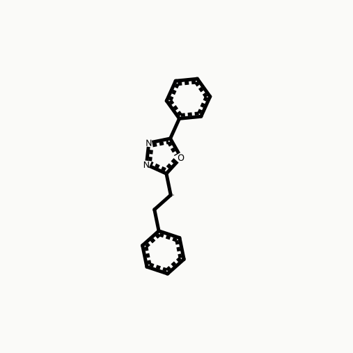 [CH](Cc1ccccc1)c1nnc(-c2ccccc2)o1